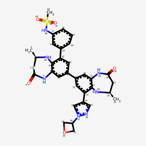 C[C@@H]1CC(=O)Nc2cc(-c3cc4c(c(-c5cnn(C6COC6)c5)c3)N[C@H](C)CC(=O)N4)cc(-c3cccc(NS(C)(=O)=O)c3)c2N1